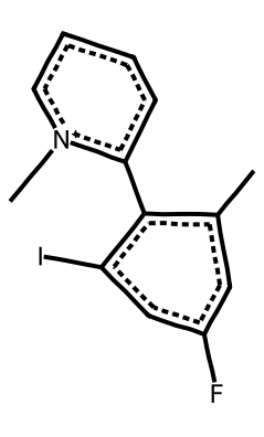 Cc1cc(F)cc(I)c1-c1cccc[n+]1C